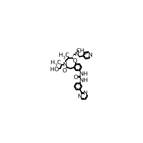 CC1CN([C@@H](C)CO)C(=O)Cc2cc(NC(=O)Nc3cccc(-c4ncccn4)c3)ccc2O[C@H]1CN(C)Cc1ccncc1